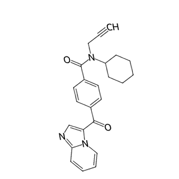 C#CCN(C(=O)c1ccc(C(=O)c2cnc3ccccn23)cc1)C1CCCCC1